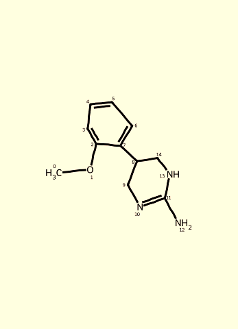 COc1ccccc1C1CN=C(N)NC1